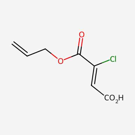 C=CCOC(=O)C(Cl)=CC(=O)O